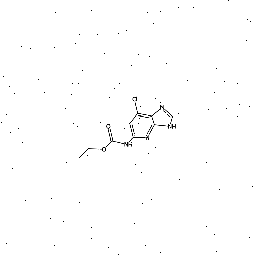 CCOC(=O)Nc1cc(Cl)c2nc[nH]c2n1